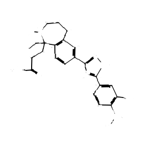 COC(=O)CCC1(CC(C)C)c2ccc(-c3noc(-c4ccc(OC(C)C)c(Cl)c4)n3)cc2CCCN1C(=O)O